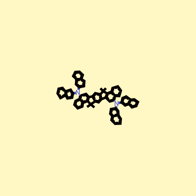 CC1(C)c2cc3c(cc2-c2cc(N(c4ccc5ccccc5c4)c4ccc5ccccc5c4)c4ccccc4c21)C(C)(C)c1c-3cc(N(c2ccc3ccccc3c2)c2ccc3ccccc3c2)c2ccccc12